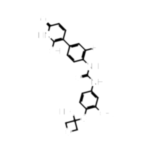 Cc1[nH]c(=O)ccc1-c1ccc(NC(=O)Nc2ccc(OC3(C)COC3)c(C(F)(F)F)c2)c(F)c1